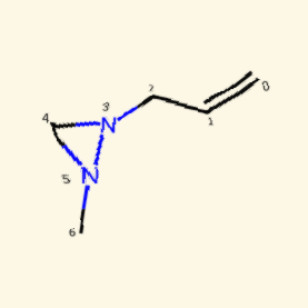 C=CCN1CN1C